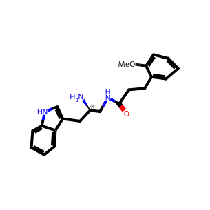 COc1ccccc1CCC(=O)NC[C@H](N)Cc1c[nH]c2ccccc12